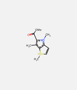 COC(=O)c1c(C)c2c(n1C)C=C[SH]2C